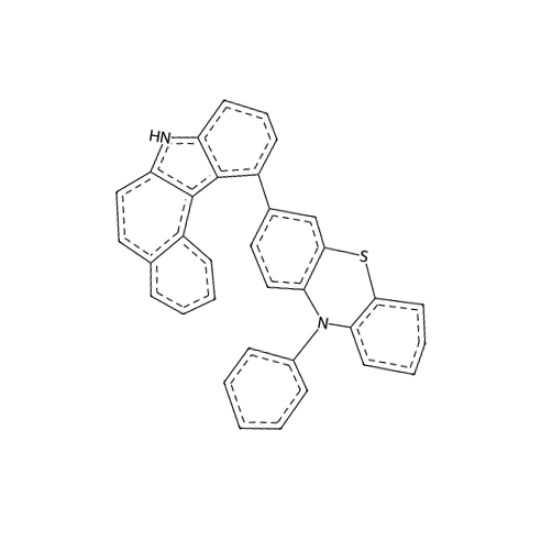 c1ccc(N2c3ccccc3Sc3cc(-c4cccc5[nH]c6ccc7ccccc7c6c45)ccc32)cc1